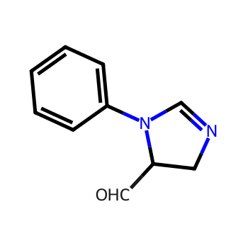 O=CC1CN=CN1c1ccccc1